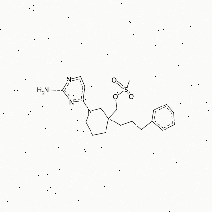 CS(=O)(=O)OCC1(CCCc2ccccc2)CCCN(c2ccnc(N)n2)C1